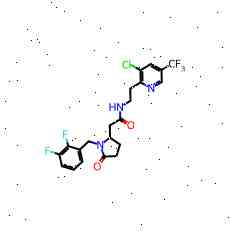 O=C(CC1CCC(=O)N1Cc1cccc(F)c1F)NCCc1ncc(C(F)(F)F)cc1Cl